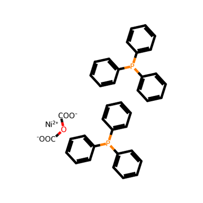 O=C([O-])OC(=O)[O-].[Ni+2].c1ccc(P(c2ccccc2)c2ccccc2)cc1.c1ccc(P(c2ccccc2)c2ccccc2)cc1